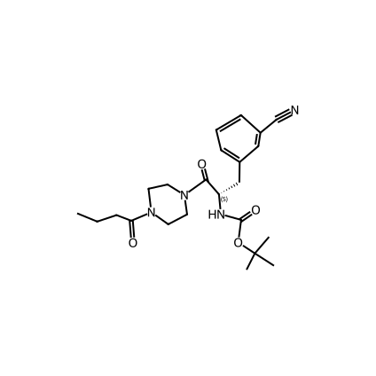 CCCC(=O)N1CCN(C(=O)[C@H](Cc2cccc(C#N)c2)NC(=O)OC(C)(C)C)CC1